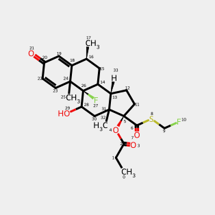 CCC(=O)O[C@]1(C(=O)SCF)CC[C@H]2C3C[C@H](C)C4=CC(=O)C=CC4(C)[C@@]3(F)C(O)CC21C